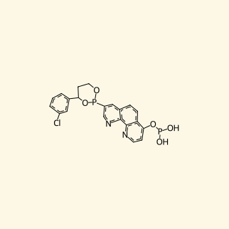 OP(O)Oc1ccnc2c1ccc1cc(P3OCCC(c4cccc(Cl)c4)O3)cnc12